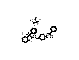 C[N+]1(CC(=O)c2ccccc2)CCC(COC(=O)C(O)(c2ccccc2)c2ccccc2)CC1.O=C([O-])C(F)(F)F